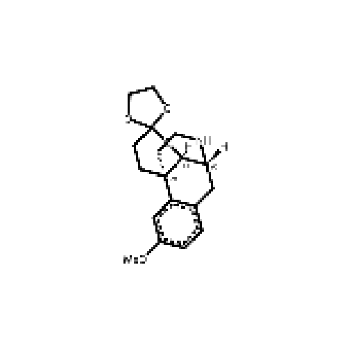 COc1ccc2c(c1)[C@]13CCN[C@H](C2)[C@@H]1CC1(CC3)OCCO1